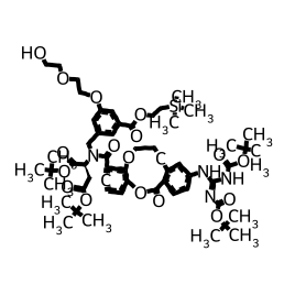 CC(C)(C)OC(=O)C[C@@H](C(=O)OC(C)(C)C)N(Cc1cc(OCCOCCO)cc(C(=O)OCC[Si](C)(C)C)c1)C(=O)c1cccc2c1OCCCc1cc(NC(=NC(=O)OC(C)(C)C)NC(=O)OC(C)(C)C)ccc1C(=O)O2